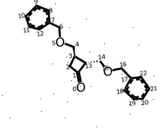 O=C1C[C@@H](COCc2ccccc2)[C@@H]1COCc1ccccc1